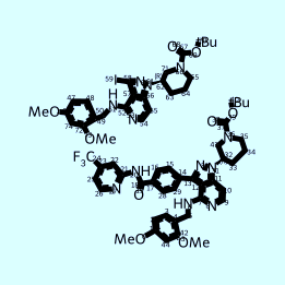 COc1ccc(CNc2nccc3c2c(-c2ccc(C(=O)Nc4cc(C(F)(F)F)ccn4)cc2)nn3[C@@H]2CCCN(C(=O)OC(C)(C)C)C2)c(OC)c1.COc1ccc(CNc2nccc3c2c(I)nn3[C@@H]2CCCN(C(=O)OC(C)(C)C)C2)c(OC)c1